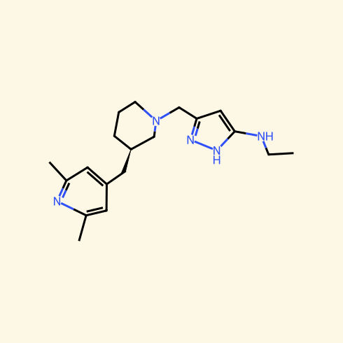 CCNc1cc(CN2CCC[C@H](Cc3cc(C)nc(C)c3)C2)n[nH]1